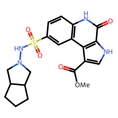 COC(=O)c1c[nH]c2c(=O)[nH]c3ccc(S(=O)(=O)NN4CC5CCCC5C4)cc3c12